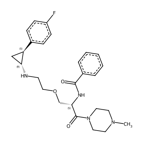 CN1CCN(C(=O)[C@H](COCCN[C@@H]2C[C@H]2c2ccc(F)cc2)NC(=O)c2ccccc2)CC1